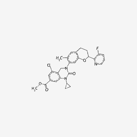 COC(=O)c1cc(Cl)c2c(c1)N(C1CC1)C(=O)N(c1cc3c(cc1C)CCC(c1ncccc1F)O3)C2